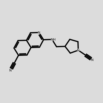 N#Cc1ccc2cnc(NCC3CCN(C#N)C3)cc2c1